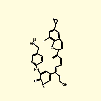 C=C(/C=C\C=C(/CCO)c1cc(Nc2ccc(CNCC)cn2)c(=O)n(C)c1)N1C=Cc2cc(C3CC3)cc(F)c2O1